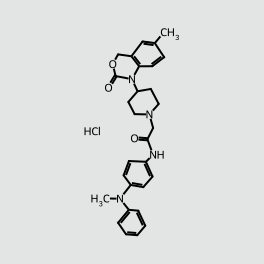 Cc1ccc2c(c1)COC(=O)N2C1CCN(CC(=O)Nc2ccc(N(C)c3ccccc3)cc2)CC1.Cl